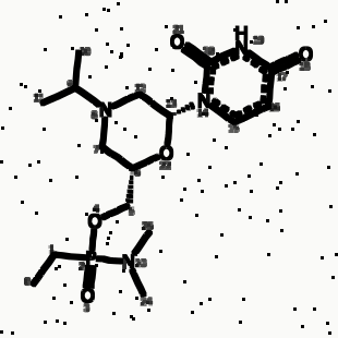 CCP(=O)(OC[C@@H]1CN(C(C)C)C[C@H](n2ccc(=O)[nH]c2=O)O1)N(C)C